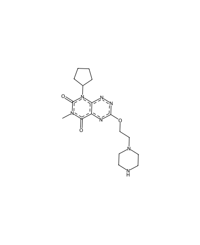 Cn1c(=O)c2nc(OCCN3CCNCC3)nnc2n(C2CCCC2)c1=O